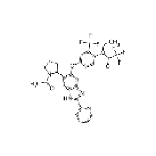 CCN(C(=O)C(F)(F)F)c1ccc(Oc2cc3nc(-c4ccccn4)[nH]c3cc2C2CCCN2C(C)=O)cc1C(F)(F)F